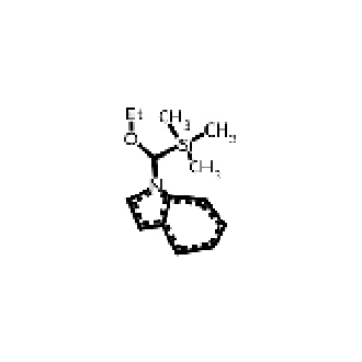 CCOC(n1ccc2ccccc21)[Si](C)(C)C